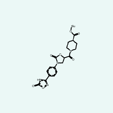 CC(C)(C)OC(=O)C1CCN(C(=O)C2CN(c3ccc(-c4noc(=O)[nH]4)cc3)C(=O)O2)CC1